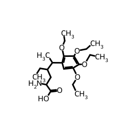 CCOc1cc(C(C)C(CC)CC(N)C(=O)O)c(OCC)c(OCC)c1OCC